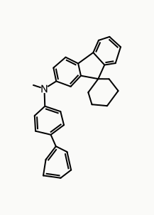 CN(c1ccc(-c2ccccc2)cc1)c1ccc2c(c1)C1(CCCCC1)c1ccccc1-2